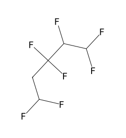 FC(F)CC(F)(F)C(F)C(F)F